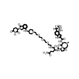 CN1CC[C@H]2CC[C@@H](C(=O)NC(CCC(N)=O)C(=O)NCCOCCOCCOCCN3CCC(Nc4cccc5c4CN(C4CCC(=O)NC4=O)C5=O)CC3)N2C(=O)[C@@H](NC(=O)c2cc3cc(C(F)(F)P(=O)(O)O)ccc3[nH]2)C1